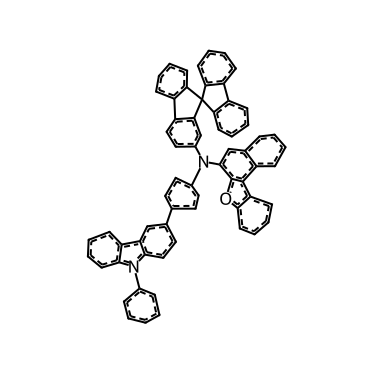 c1ccc(-n2c3ccccc3c3cc(-c4ccc(N(c5ccc6c(c5)C5(c7ccccc7-c7ccccc75)c5ccccc5-6)c5cc6ccccc6c6c5oc5ccccc56)cc4)ccc32)cc1